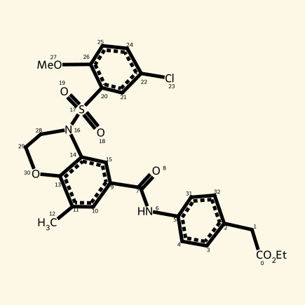 CCOC(=O)Cc1ccc(NC(=O)c2cc(C)c3c(c2)N(S(=O)(=O)c2cc(Cl)ccc2OC)CCO3)cc1